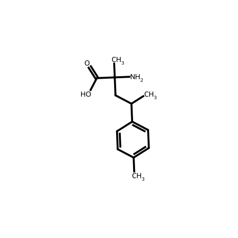 Cc1ccc(C(C)CC(C)(N)C(=O)O)cc1